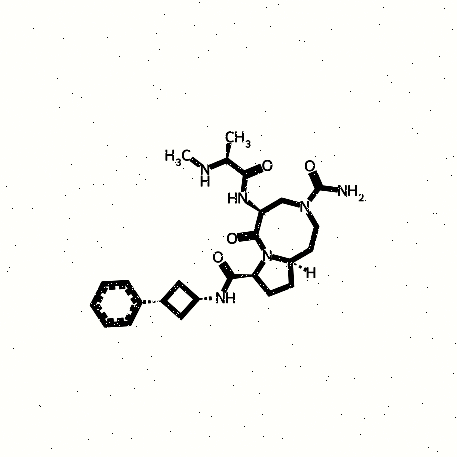 CN[C@@H](C)C(=O)N[C@H]1CN(C(N)=O)CC[C@H]2CC[C@@H](C(=O)N[C@H]3C[C@@H](c4ccccc4)C3)N2C1=O